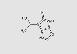 CC(C)n1c(=O)[nH]c2ocnc21